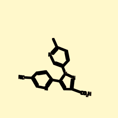 Cc1ccc(-n2nc(C(=O)O)cc2-c2ccc(C#N)cn2)cn1